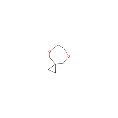 C1COCC2(CC2)CO1